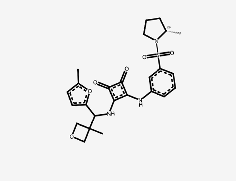 Cc1ccc(C(Nc2c(Nc3cccc(S(=O)(=O)N4CCC[C@@H]4C)c3)c(=O)c2=O)C2(C)COC2)o1